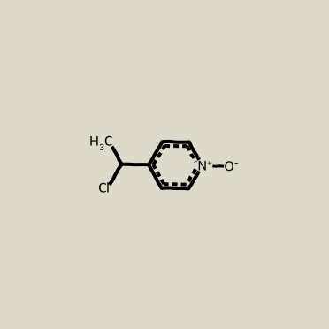 CC(Cl)c1cc[n+]([O-])cc1